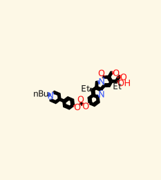 CCCCN1CCC(c2ccc(OC(=O)Oc3ccc4nc5c(c(CC)c4c3)Cn3c-5cc4c(c3=O)COC(=O)[C@]4(O)CC)cc2)CC1